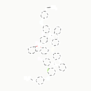 C=Cc1ccc(Oc2ccc(C3(c4ccc(F)cc4F)c4ccccc4-c4ccc(N(c5ccc6c(c5)C(c5ccc(Oc7ccc(C=C)cc7)cc5)(c5ccc(F)cc5F)c5ccccc5-6)c5ccc6c(c5)oc5ccccc56)cc43)cc2)cc1